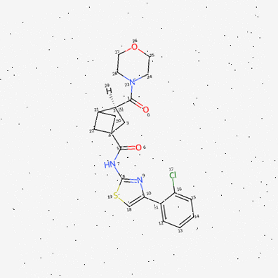 O=C([C@H]1CC2(C(=O)Nc3nc(-c4ccccc4Cl)cs3)CC1C2)N1CCOCC1